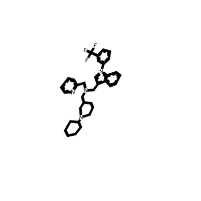 FC(F)(F)c1cccc(-n2cc(CN(Cc3ccccn3)CC3CCCN(C4CCCCC4)C3)c3ccccc32)c1